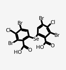 O=C(O)c1c([Se]c2cc(Br)c(Cl)c(Br)c2C(=O)O)cc(Br)c(Cl)c1Br